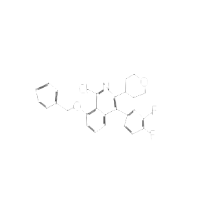 Fc1ccc(-c2c(C3CCOCC3)nc(Cl)c3c(OCc4ccccc4)cccc23)cc1F